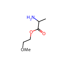 COCCOC(=O)C(C)N